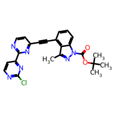 Cc1nn(C(=O)OC(C)(C)C)c2cccc(C#Cc3ccnc(-c4ccnc(Cl)n4)n3)c12